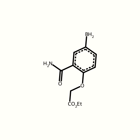 Bc1ccc(OCC(=O)OCC)c(C(N)=O)c1